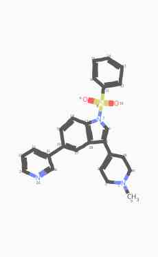 CN1CC=C(c2cn(S(=O)(=O)c3ccccc3)c3ccc(-c4cccnc4)cc23)CC1